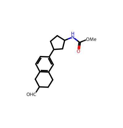 COC(=O)NC1CCC(c2ccc3c(c2)CCC(C=O)C3)C1